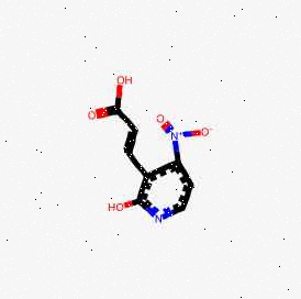 O=C(O)C=Cc1c([N+](=O)[O-])ccnc1O